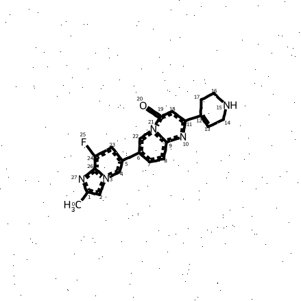 Cc1cn2cc(-c3ccc4nc(C5=CCNCC5)cc(=O)n4c3)cc(F)c2n1